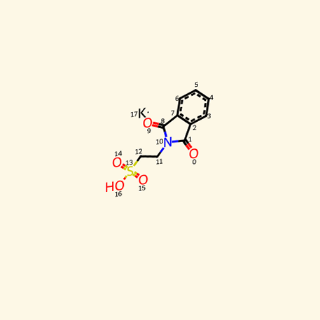 O=C1c2ccccc2C(=O)N1CCS(=O)(=O)O.[K]